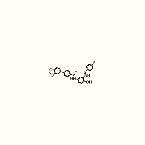 O=C(Nc1ccc(O)c(NSc2ccc(F)cc2)c1)c1ccc(-c2ccc3c(c2)OCO3)cc1